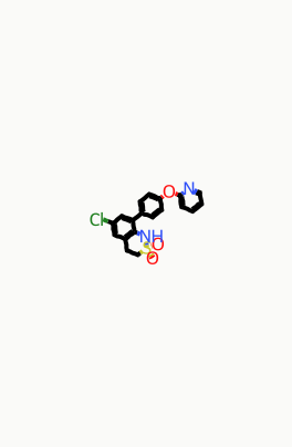 O=S1(=O)CCc2cc(Cl)cc(-c3ccc(Oc4ccccn4)cc3)c2N1